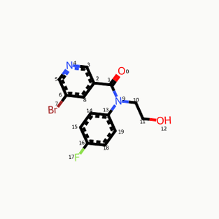 O=C(c1cncc(Br)c1)N(CCO)c1ccc(F)cc1